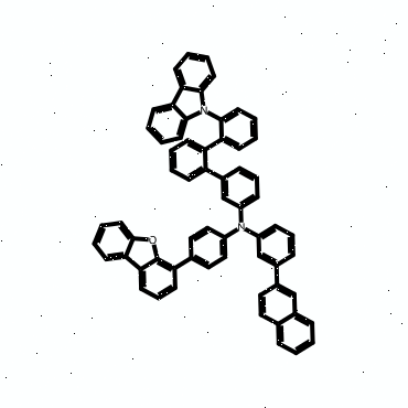 c1cc(-c2ccc3ccccc3c2)cc(N(c2ccc(-c3cccc4c3oc3ccccc34)cc2)c2cccc(-c3ccccc3-c3ccccc3-n3c4ccccc4c4ccccc43)c2)c1